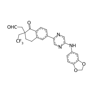 O=CCC1(CC(F)(F)F)CCc2cc(-c3cnc(Nc4ccc5c(c4)OCO5)cn3)ccc2C1=O